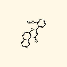 COc1ccccc1-c1cc(=O)c2c(ccc3ccccc32)o1